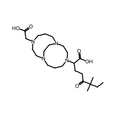 CCC(C)(C)C(=O)CCC(C(=O)O)N1CCCN2CCN(CCCN(CC(=O)O)CC2)CC1